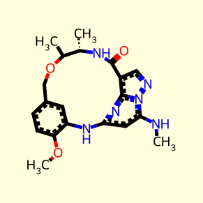 CNc1cc2nc3c(cnn13)C(=O)N[C@@H](C)C(C)OCc1ccc(OC)c(c1)N2